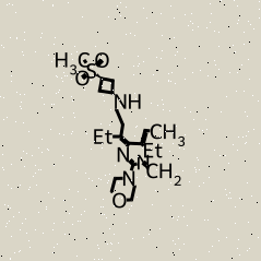 C=N\C(=N/C(C(=C/C)/CC)=C(\CC)CCN[C@H]1C[C@H](S(C)(=O)=O)C1)N1CCOCC1